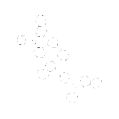 c1ccc(N(c2ccc(-c3cc4c(c5ccccc35)-c3ccc(N(c5ccccc5)c5ccc6ccccc6c5)cc3C4(c3ccccc3)c3ccccc3)cc2)c2ccc3ccccc3c2)cc1